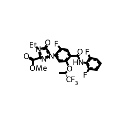 CCn1c(C(=O)OC)nn(-c2cc(O[C@@H](C)C(F)(F)F)c(C(=O)Nc3c(F)cccc3F)cc2F)c1=O